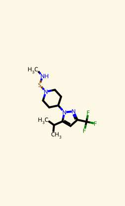 CNSN1CCC(n2nc(C(F)(F)F)cc2C(C)C)CC1